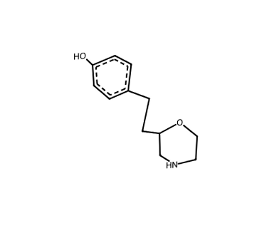 Oc1ccc(CCC2CNCCO2)cc1